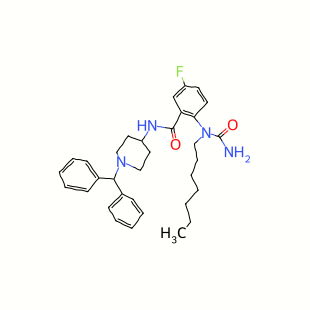 CCCCCCCN(C(N)=O)c1ccc(F)cc1C(=O)NC1CCN(C(c2ccccc2)c2ccccc2)CC1